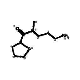 CN(CCCN)C(=O)C1CCCO1